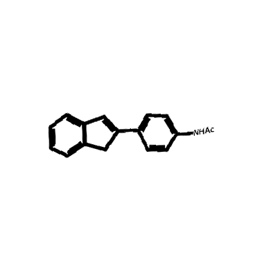 CC(=O)Nc1ccc(C2=Cc3ccccc3C2)cc1